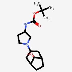 CC(C)(C)OC(=O)NC1CCN(C2CC3CCC(C2)C3O)C1